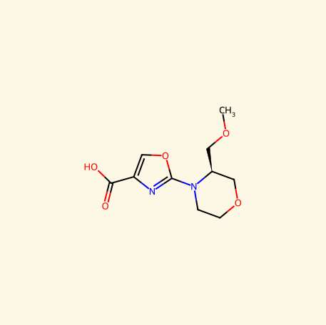 COC[C@H]1COCCN1c1nc(C(=O)O)co1